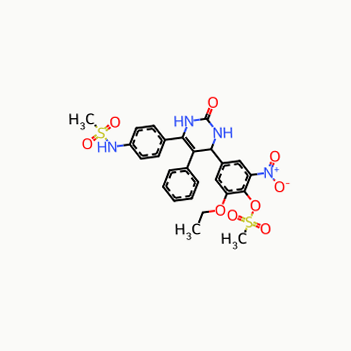 CCOc1cc(C2NC(=O)NC(c3ccc(NS(C)(=O)=O)cc3)=C2c2ccccc2)cc([N+](=O)[O-])c1OS(C)(=O)=O